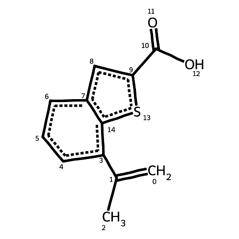 C=C(C)c1cccc2cc(C(=O)O)sc12